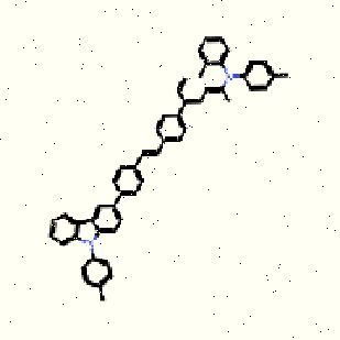 C=C/C(=C\C=C(/C)N(c1ccc(C)cc1)c1ccccc1C)c1ccc(/C=C/c2ccc(-c3ccc4c(c3)c3ccccc3n4-c3ccc(C)cc3)cc2)cc1